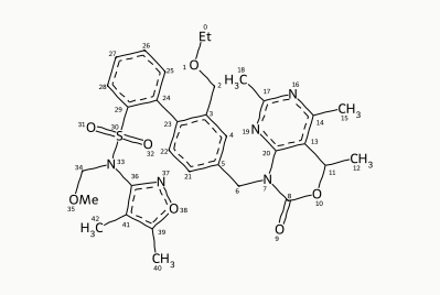 CCOCc1cc(CN2C(=O)OC(C)c3c(C)nc(C)nc32)ccc1-c1ccccc1S(=O)(=O)N(COC)c1noc(C)c1C